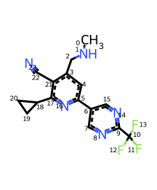 CNCc1cc(-c2cnc(C(F)(F)F)nc2)nc(C2CC2)c1C#N